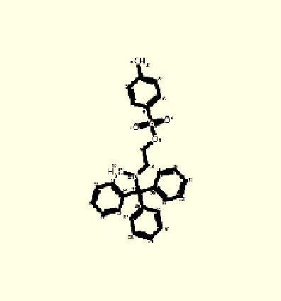 Cc1ccc(S(=O)(=O)OCCN(C)C(c2ccccc2)(c2ccccc2)c2ccccc2)cc1